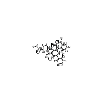 C=CC(=O)N1CCN(/C(=N/C)c2cc(Cl)c(C3=CCCC=C3F)nc2N(C=O)c2c(C)ccnc2C(C)C)C(CF)C1